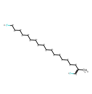 CC(=CF)CCCCCCCCCCCCCCCCCF